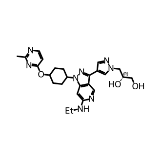 CCNc1cc2c(cn1)c(-c1cnn(C[C@@H](O)CO)c1)nn2C1CCC(Oc2ccnc(C)n2)CC1